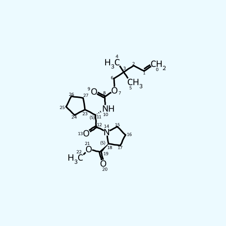 C=CCC(C)(C)COC(=O)N[C@H](C(=O)N1CCC[C@H]1C(=O)OC)C1CCCC1